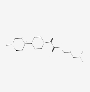 CN(C)CCCOC(=O)C(=O)N1CCC(C2CCN(C)CC2)CC1